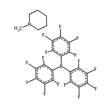 CN1CCCCC1.Fc1c(F)c(F)c(B(c2c(F)c(F)c(F)c(F)c2F)c2c(F)c(F)c(F)c(F)c2F)c(F)c1F